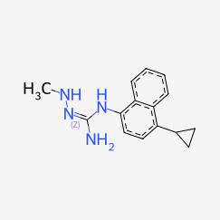 CN/N=C(/N)Nc1ccc(C2CC2)c2ccccc12